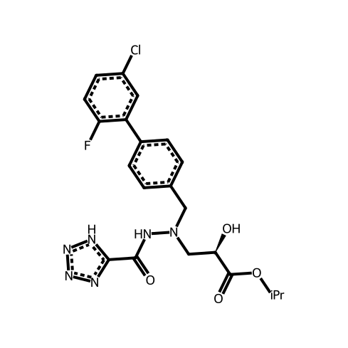 CC(C)OC(=O)[C@H](O)CN(Cc1ccc(-c2cc(Cl)ccc2F)cc1)NC(=O)c1nnn[nH]1